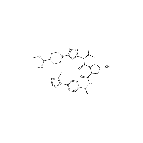 COC(OC)C1CCN(c2cc([C@H](C(=O)N3C[C@H](O)C[C@H]3C(=O)N[C@@H](C)c3ccc(-c4scnc4C)cc3)C(C)C)on2)CC1